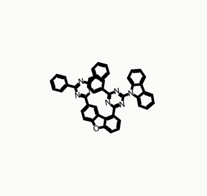 c1ccc(-c2nc(-c3ccccc3)nc(-c3ccc4oc5cccc(-c6nc(-c7ccccc7)nc(-n7c8ccccc8c8ccccc87)n6)c5c4c3)n2)cc1